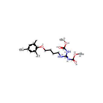 CCc1cc(C(C)(C)C)cc(C)c1OCCCCNC(=NC(=O)OC(C)(C)C)NC(=O)OC(C)(C)C